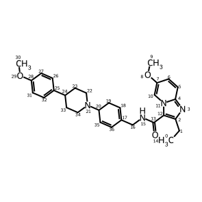 CCc1nc2ccc(OC)cn2c1C(=O)NCC1=CCC(N2CCC(c3ccc(OC)cc3)CC2)C=C1